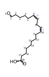 O=CCCCC/C=C\C/C=C\CCCCCCCC(=O)O